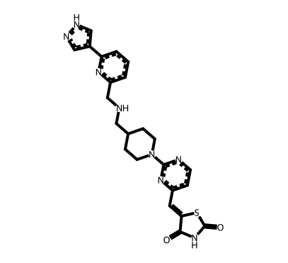 O=C1NC(=O)/C(=C/c2ccnc(N3CCC(CNCc4cccc(-c5cn[nH]c5)n4)CC3)n2)S1